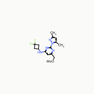 COCc1cc(NC2CC(F)(F)C2)nc(-n2nc(C)cc2C)n1